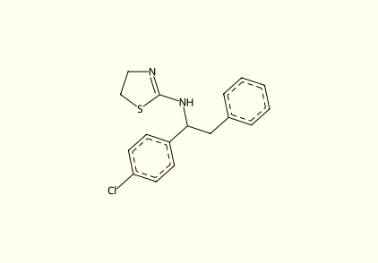 Clc1ccc(C(Cc2ccccc2)NC2=NCCS2)cc1